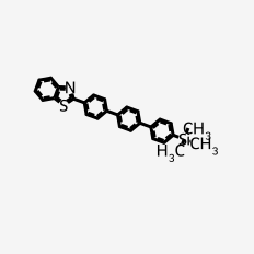 C[Si](C)(C)c1ccc(-c2ccc(-c3ccc(-c4nc5ccccc5s4)cc3)cc2)cc1